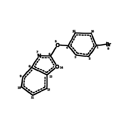 Brc1ccc(Oc2nc3ccccc3o2)cc1